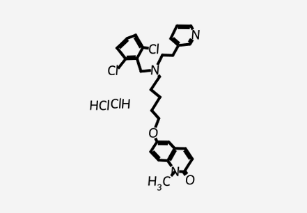 Cl.Cl.Cn1c(=O)ccc2cc(OCCCCCN(CCc3cccnc3)Cc3c(Cl)cccc3Cl)ccc21